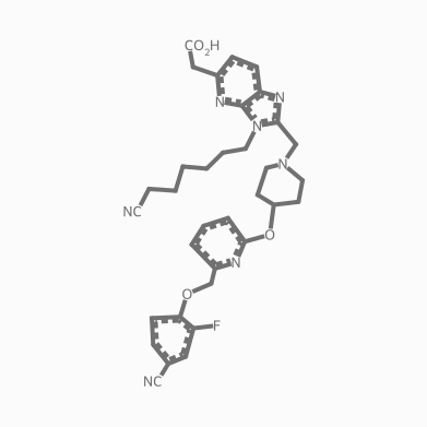 N#CCCCCCCn1c(CN2CCC(Oc3cccc(COc4ccc(C#N)cc4F)n3)CC2)nc2ccc(CC(=O)O)nc21